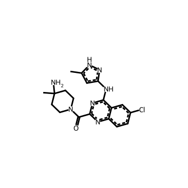 Cc1cc(Nc2nc(C(=O)N3CCC(C)(N)CC3)nc3ccc(Cl)cc23)n[nH]1